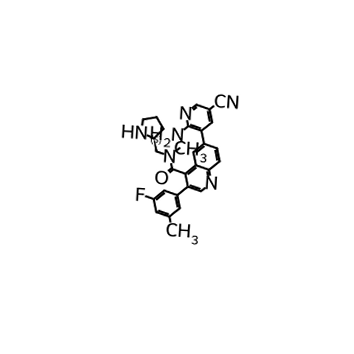 Cc1cc(F)cc(-c2cnc3ccc(-c4cc(C#N)cnc4N)cc3c2C(=O)N(C)C[C@@H]2CCCN2)c1